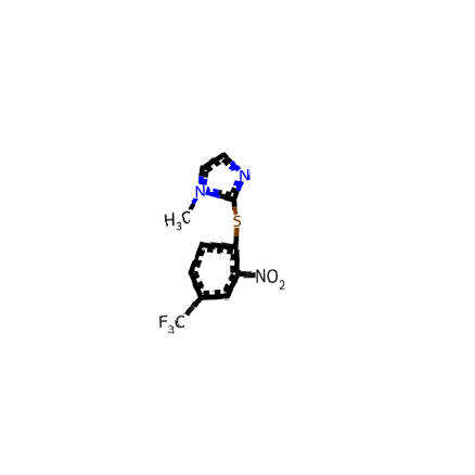 Cn1ccnc1Sc1ccc(C(F)(F)F)cc1[N+](=O)[O-]